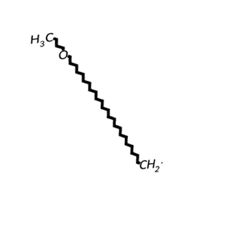 [CH2]CCCCCCCCCCCCCCCCCCCCCCCCOCCCC